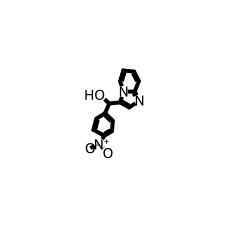 O=[N+]([O-])c1ccc(C(O)c2cnc3ccccn23)cc1